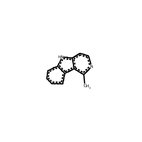 Cc1nccc2[nH]c3ccccc3c12